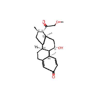 COCC(=O)[C@H]1[C@H](C)CC2[C@@H]3CCC4=CC(=O)C=C[C@]4(C)C3[C@@H](O)C[C@@]21C